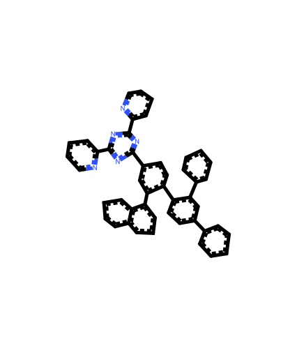 c1ccc(-c2ccc(-c3ccc(-c4nc(-c5ccccn5)nc(-c5ccccn5)n4)cc3-c3cccc4ccccc34)c(-c3ccccc3)c2)cc1